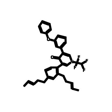 CC=CCCc1ccc(-c2cn(C(F)(F)C(F)F)cc(-c3cccc(Oc4ccccc4)c3)c2=O)c(CCC=CC)c1